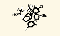 CCC(NC(C)=O)c1cc(Cl)ccc1C1CC2CCC(C1)N2C(=O)[C@@H]1CN(C(C)(C)C)C[C@H]1c1ccc(F)cc1F.O=C(O)C(F)(F)F